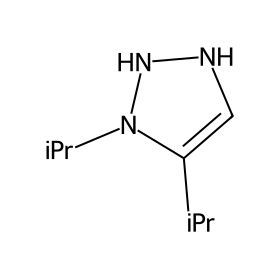 CC(C)C1=CNNN1C(C)C